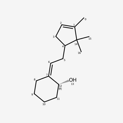 CC1=CCC(CC=C2CCCC[C@H]2O)C1(C)C